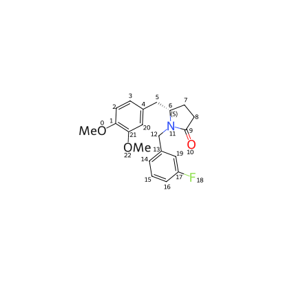 COc1ccc(C[C@@H]2CCC(=O)N2Cc2cccc(F)c2)cc1OC